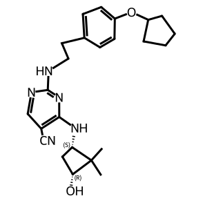 CC1(C)[C@H](O)C[C@@H]1Nc1nc(NCCc2ccc(OC3CCCC3)cc2)ncc1C#N